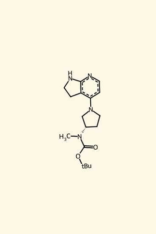 CN(C(=O)OC(C)(C)C)[C@H]1CCN(c2ccnc3c2CCN3)C1